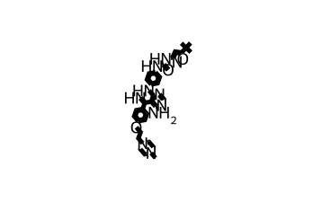 CN1CCN(CCOc2ccc(C(=N)c3c(N)ncnc3Nc3ccc(NC(=O)Nc4cc(C(C)(C)C)on4)cc3)cc2)CC1